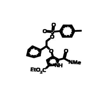 CCOC(=O)c1cc(OC(COS(=O)(=O)c2ccc(C)cc2)c2ccccc2)c(C(=O)NC)[nH]1